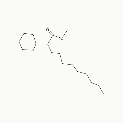 CCCCCCCCCC(C(=O)OC)C1CCCCC1